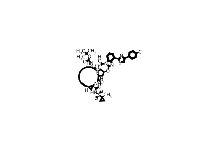 CC(C)n1c(O[C@@H]2C[C@H]3C(=O)N[C@]4(C(=O)NS(=O)(=O)C5(C)CC5)C[C@H]4/C=C\CCCCC[C@H](NC(=O)OC(C)(C)C)C(=O)N3C2)nc2c(-c3nc(-c4ccc(Cl)cc4)cs3)cccc21